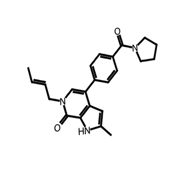 CC=CCn1cc(-c2ccc(C(=O)N3CCCC3)cc2)c2cc(C)[nH]c2c1=O